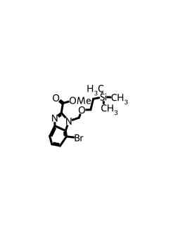 COC(=O)c1nc2cccc(Br)c2n1COCC[Si](C)(C)C